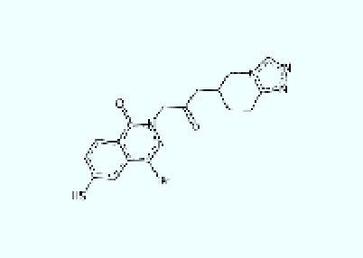 CC(C)c1nn(CC(=O)CC2CCc3nncn3C2)c(=O)c2ccc(S)cc12